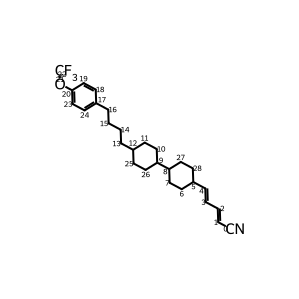 N#CC=CC=CC1CCC(C2CCC(CCCCc3ccc(OC(F)(F)F)cc3)CC2)CC1